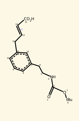 CC(C)(C)OC(=O)NCCc1cccc(C/C=C/C(=O)O)c1